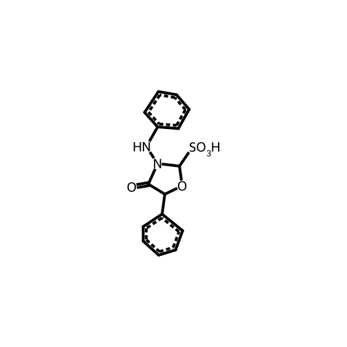 O=C1C(c2ccccc2)OC(S(=O)(=O)O)N1Nc1ccccc1